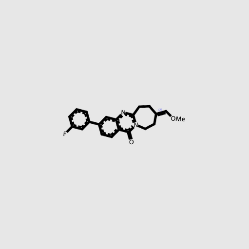 CO/C=C1/CCc2nc3cc(-c4cccc(F)c4)ccc3c(=O)n2CC1